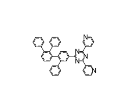 c1ccc(-c2cc(-c3nc(-c4cccnc4)nc(-c4cccnc4)n3)ccc2-c2cccc(-c3ccccc3)c2-c2ccccc2)cc1